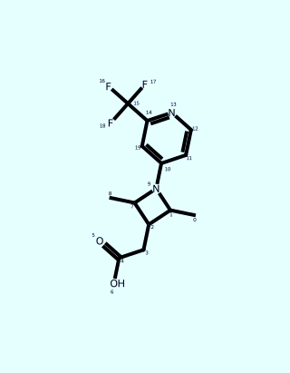 CC1C(CC(=O)O)C(C)N1c1ccnc(C(F)(F)F)c1